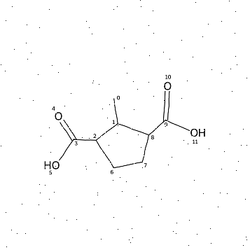 CC1C(C(=O)O)CCC1C(=O)O